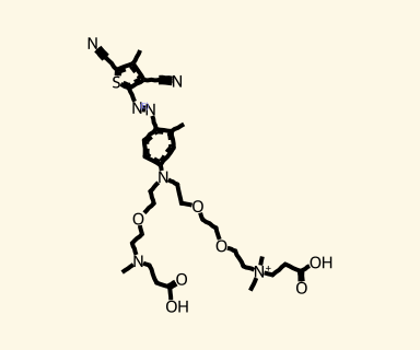 Cc1cc(N(CCOCCOCC[N+](C)(C)CCC(=O)O)CCOCCN(C)CCC(=O)O)ccc1/N=N/c1sc(C#N)c(C)c1C#N